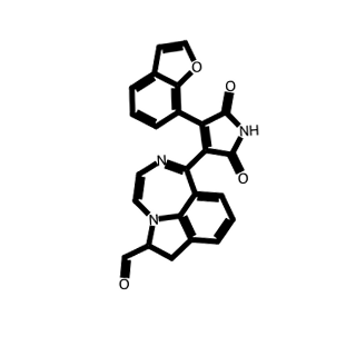 O=CC1Cc2cccc3c2N1C=CN=C3C1=C(c2cccc3ccoc23)C(=O)NC1=O